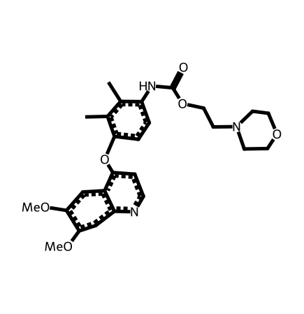 COc1cc2nccc(Oc3ccc(NC(=O)OCCN4CCOCC4)c(C)c3C)c2cc1OC